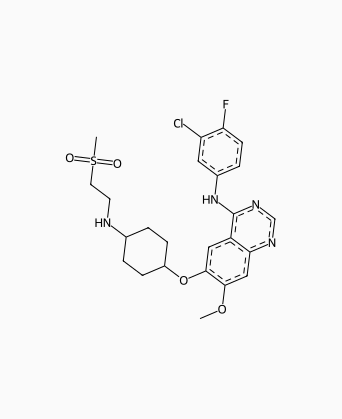 COc1cc2ncnc(Nc3ccc(F)c(Cl)c3)c2cc1OC1CCC(NCCS(C)(=O)=O)CC1